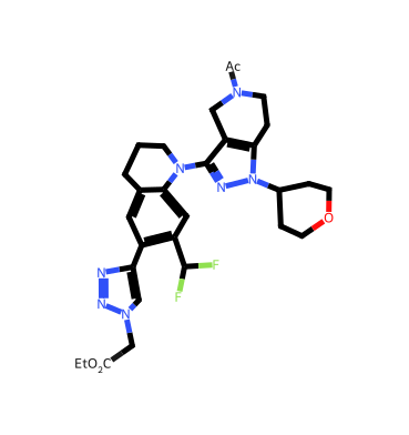 CCOC(=O)Cn1cc(-c2cc3c(cc2C(F)F)N(c2nn(C4CCOCC4)c4c2CN(C(C)=O)CC4)CCC3)nn1